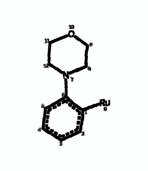 [Ru][c]1ccccc1N1CCOCC1